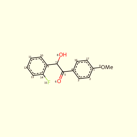 COc1ccc(C(=O)C(O)c2ccccc2F)cc1